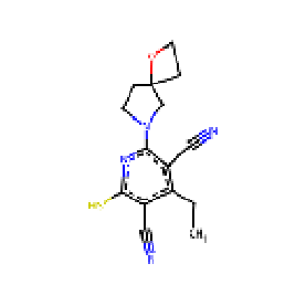 CCc1c(C#N)c(S)nc(N2CCC3(CCO3)C2)c1C#N